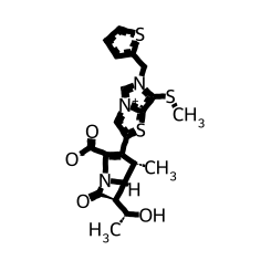 CSc1c2sc(C3=C(C(=O)[O-])N4C(=O)[C@H]([C@@H](C)O)[C@H]4[C@H]3C)c[n+]2cn1Cc1cccs1